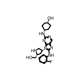 OC[C@@H]1C[C@@H](n2c(Nc3ccccc3F)nc3cnc(N[C@H]4CC[C@H](O)CC4)nc32)CN1